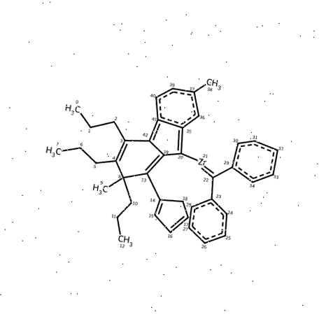 CCCC1=C(CCC)C(C)(CCC)C(C2=CC=CC2)=C2[C]([Zr]=[C](c3ccccc3)c3ccccc3)=c3cc(C)ccc3=C12